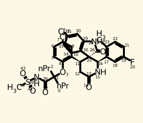 CCCC(CCC)(Oc1ccc(Cl)cc1[C@@H]1CC(=O)N[C@H](c2cc(F)ccc2C)[C@@]12C(=O)Nc1cc(Cl)ccc12)C(=O)NS(C)(=O)=O